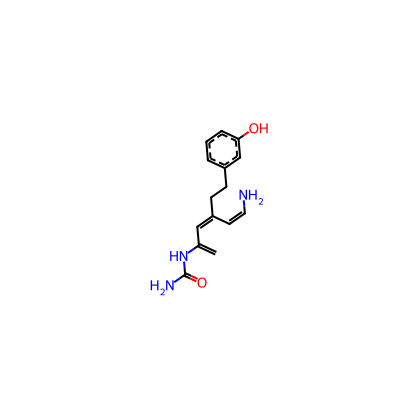 C=C(/C=C(\C=C/N)CCc1cccc(O)c1)NC(N)=O